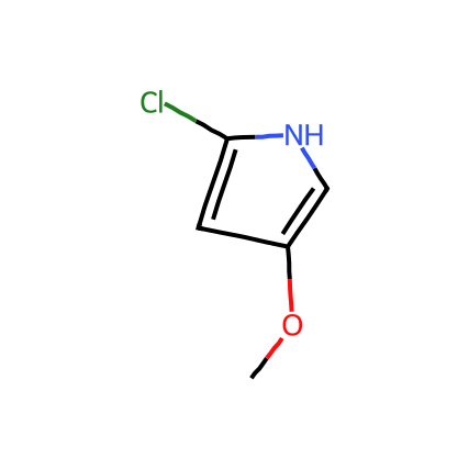 COc1c[nH]c(Cl)c1